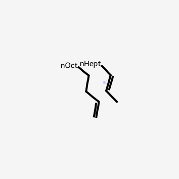 C/C=C/CCCCCCC.C=CCCCCCCCCCC